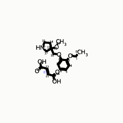 CCOc1ccccc1OCC1(OC)CCNC1.O=C(O)/C=C/C(=O)O